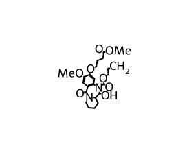 C=CCOC(=O)N1c2cc(OCCCC(=O)OC)c(OC)cc2C(=O)N2CCCCC2C1O